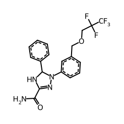 NC(=O)C1=NN(c2cccc(COCC(F)(F)C(F)(F)F)c2)C(c2ccccc2)N1